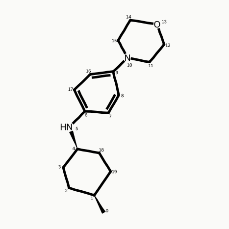 C[C@H]1CC[C@@H](Nc2ccc(N3CCOCC3)cc2)CC1